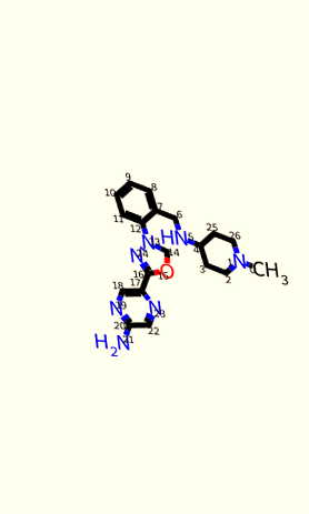 CN1CCC(NCc2ccccc2N2COC(c3cnc(N)cn3)=N2)CC1